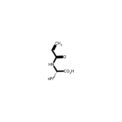 C=CC(=O)N[C@@H](CCC)C(=O)O